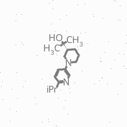 CC(C)c1ccc(N2CCC[C@@H](C(C)(C)O)C2)cn1